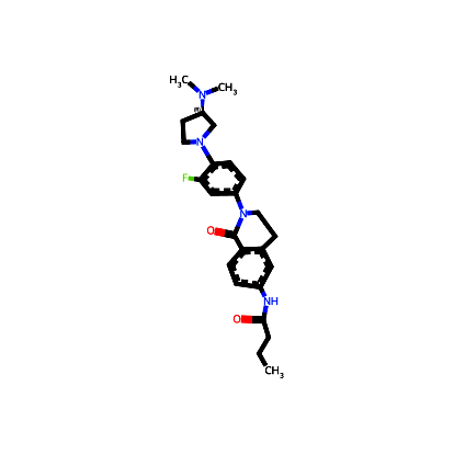 CCCC(=O)Nc1ccc2c(c1)CCN(c1ccc(N3CC[C@@H](N(C)C)C3)c(F)c1)C2=O